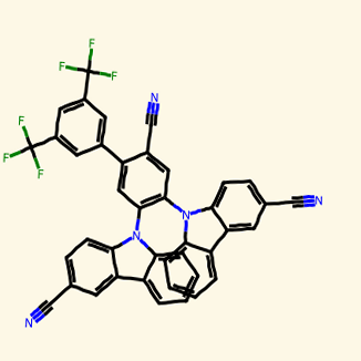 N#Cc1ccc2c(c1)c1ccccc1n2-c1cc(C#N)c(-c2cc(C(F)(F)F)cc(C(F)(F)F)c2)cc1-n1c2ccccc2c2cc(C#N)ccc21